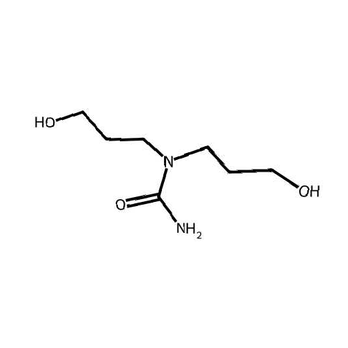 NC(=O)N(CCCO)CCCO